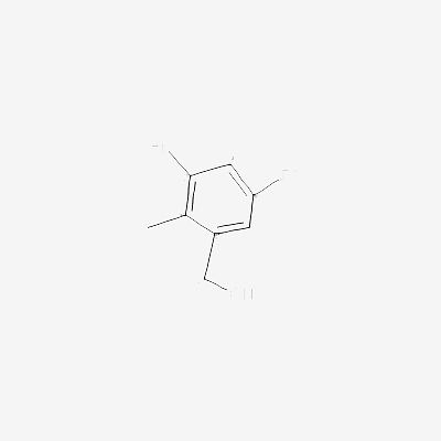 Cc1c(Br)cc(F)cc1CO